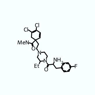 CCC1CN(CCC2(C(=O)NC)C=CC(Cl)=C(Cl)C2)CCN1C(=O)C(N)Cc1ccc(F)cc1